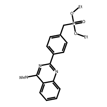 CCOP(=O)(Cc1ccc(-c2nc(NC)c3ccccc3n2)cc1)OCC